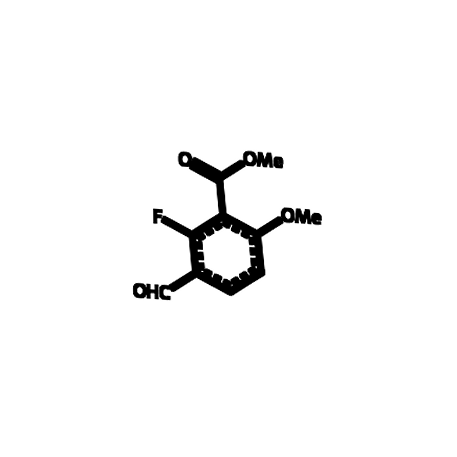 COC(=O)c1c(OC)ccc(C=O)c1F